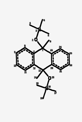 CC1(O[Si](C)(C)C)c2ccccc2C(C)(O[Si](C)(C)C)c2ccccc21